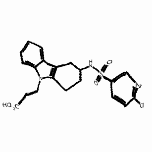 O=C(O)CCn1c2c(c3ccccc31)CC(NS(=O)(=O)c1ccc(Cl)nc1)CC2